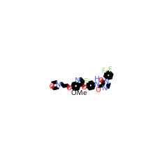 COc1cc2c(Oc3ccc(NC(=O)c4nccn(-c5ccc(F)c(F)c5)c4=O)cc3F)ccnc2cc1OCCCN1CCOCC1